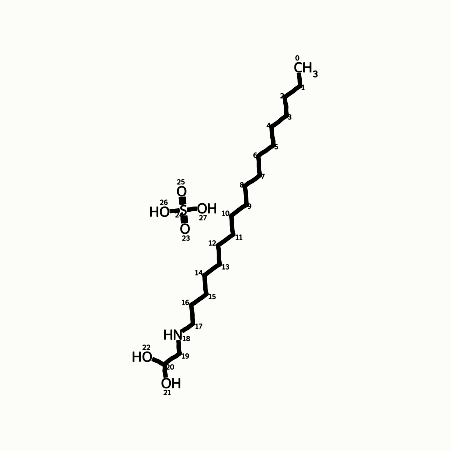 CCCCCCCCCCCCCCCCCCNCC(O)O.O=S(=O)(O)O